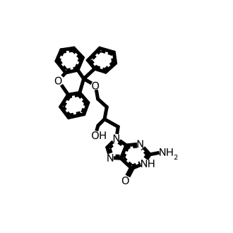 Nc1nc2c(ncn2CC(CO)CCOC2(c3ccccc3)c3ccccc3Oc3ccccc32)c(=O)[nH]1